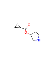 O=C(OC1CCNC1)C1CC1